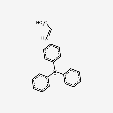 C=CC(=O)O.c1cc[c]([SnH]([c]2ccccc2)[c]2ccccc2)cc1